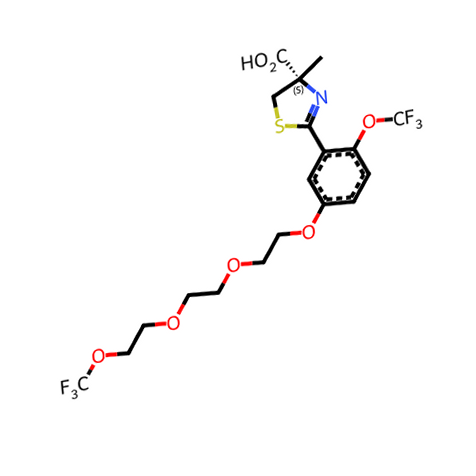 C[C@]1(C(=O)O)CSC(c2cc(OCCOCCOCCOC(F)(F)F)ccc2OC(F)(F)F)=N1